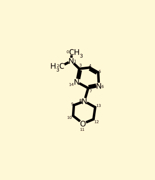 CN(C)c1ccnc(N2CCOCC2)n1